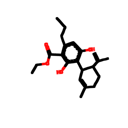 C=C(C)C1CCC(C)=CC1c1c(O)cc(CCC)c(C(=O)OCC)c1O